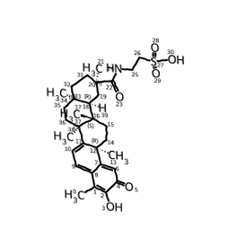 CC1=C(O)C(=O)C=C2C1=CC=C1[C@@]2(C)CC[C@@]2(C)[C@@H]3C[C@](C)(C(=O)NCCS(=O)(=O)O)CC[C@]3(C)CC[C@]12C